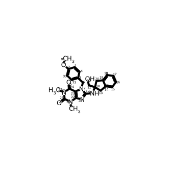 COc1ccc(Cn2c(NC3(CO)Cc4ccccc4C3)nc3c2c(=O)n(C)c(=O)n3C)cc1